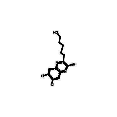 CC(C)c1nc2cc(Cl)c(Cl)cc2nc1SCCCCO